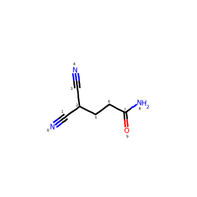 N#CC(C#N)CCC(N)=O